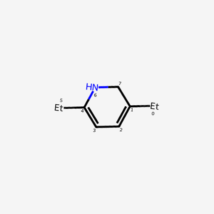 CCC1=CC=C(CC)NC1